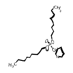 CCCCCCCCOP(=O)(O)OCCCCCCCC.c1ccncc1